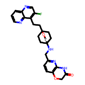 O=C1COc2ccc(CNC34CCC(CCc5c(F)cnc6cccnc56)(CC3)OC4)nc2N1